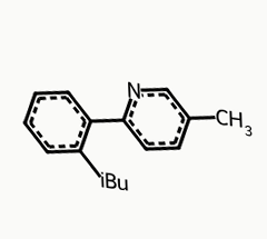 CCC(C)c1ccccc1-c1ccc(C)cn1